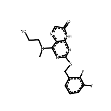 CN(CCC#N)c1nc(SCc2cccc(F)c2F)nc2[nH]c(=O)cnc12